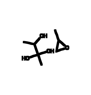 CC(O)C(C)(O)O.CC1CO1